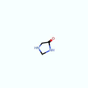 O=C1CN[CH]N1